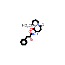 O=C(NC1CCC(=O)N2CCC[C@@H](C(=O)O)N2C1=O)[C@H](Br)Cc1ccccc1